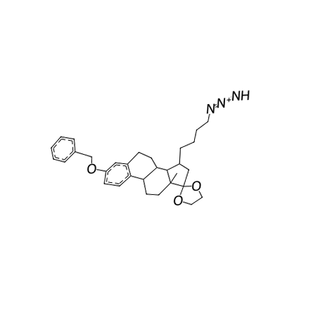 CC12CCC3c4ccc(OCc5ccccc5)cc4CCC3C1C(CCCCN=[N+]=N)CC21OCCO1